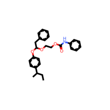 CCC(C)c1ccc(OC(Cc2ccccc2)OCCOC(=O)Nc2ccccc2)cc1